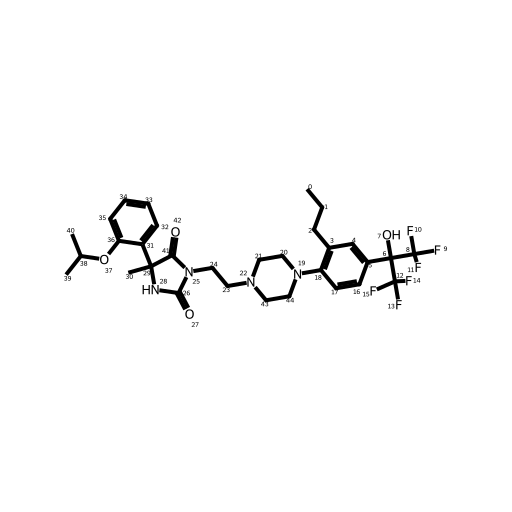 CCCc1cc(C(O)(C(F)(F)F)C(F)(F)F)ccc1N1CCN(CCN2C(=O)NC(C)(c3ccccc3OC(C)C)C2=O)CC1